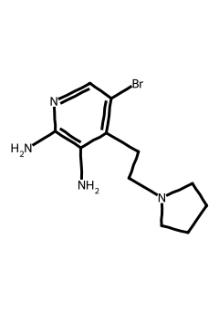 Nc1ncc(Br)c(CCN2CCCC2)c1N